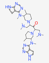 CC1CCN(C(CN(C)C)C(=O)C(CN(C)C)N2CCC(C)C(N(C)c3ncnc4[nH]ccc34)C2)CC1N(C)c1ncnc2[nH]ccc12